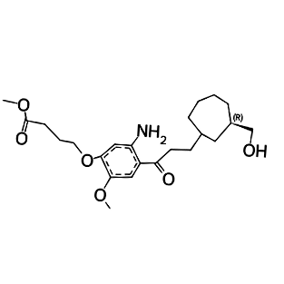 COC(=O)CCCOc1cc(N)c(C(=O)CCC2CCCC[C@@H](CO)C2)cc1OC